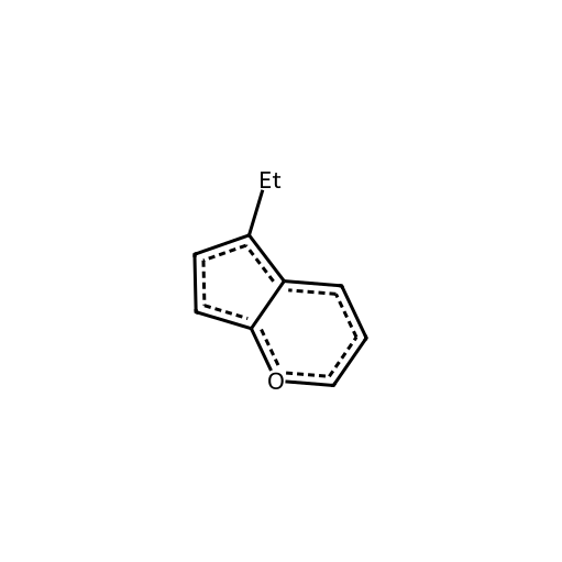 [CH2]Cc1ccc2occcc1-2